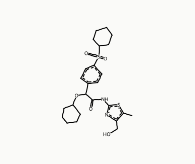 Cc1sc(NC(=O)C(OC2CCCCC2)c2ccc(S(=O)(=O)C3CCCCC3)cc2)nc1CO